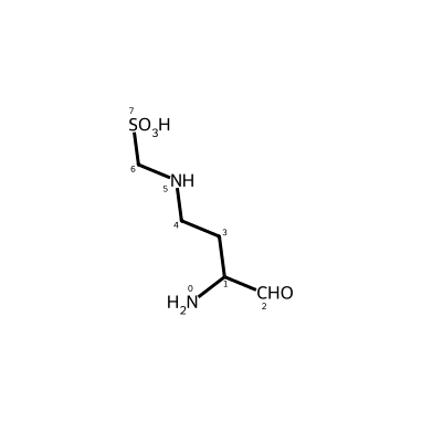 NC(C=O)CCNCS(=O)(=O)O